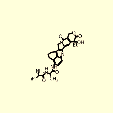 CC[C@@]1(O)C(=O)OCc2c1cc1n(c2=O)Cc2c-1nc1ccc(NC(=O)C(C)NC(=O)C(N)C(C)C)c3c1c2CCC3